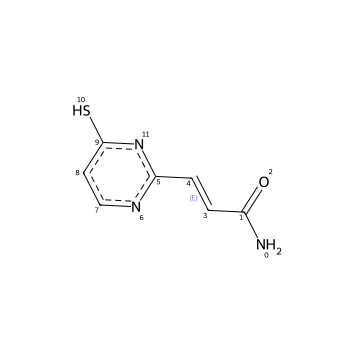 NC(=O)/C=C/c1nccc(S)n1